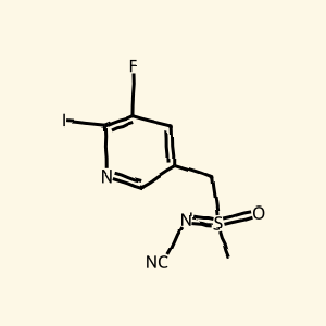 CS(=O)(Cc1cnc(I)c(F)c1)=NC#N